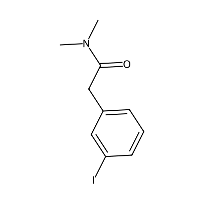 CN(C)C(=O)Cc1cccc(I)c1